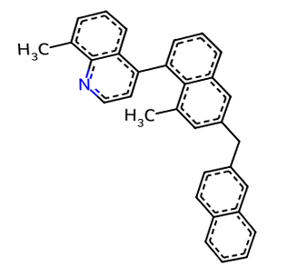 Cc1cccc2c(-c3cccc4cc(Cc5ccc6ccccc6c5)cc(C)c34)ccnc12